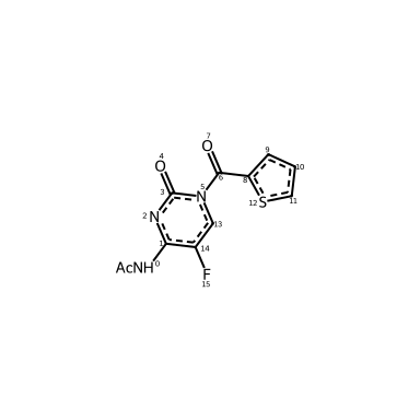 CC(=O)Nc1nc(=O)n(C(=O)c2cccs2)cc1F